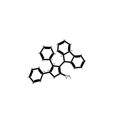 CC1=C(C2c3ccccc3-c3ccccc32)C(c2ccccc2)=C(c2ccccc2)C1